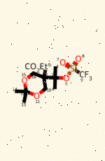 CCOC(=O)C1(C(C)(C)OS(=O)(=O)C(F)(F)F)COC(C)(C)OC1